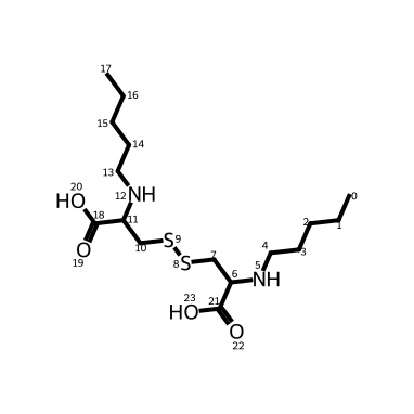 CCCCCNC(CSSCC(NCCCCC)C(=O)O)C(=O)O